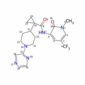 Cn1cc(C(F)(F)F)cc(NC(=O)C2(C3CCN(c4cnccn4)CC3)CC2)c1=O